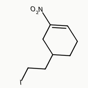 O=[N+]([O-])C1=CCCC(CCI)C1